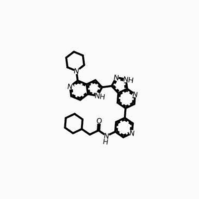 O=C(CC1CCCCC1)Nc1cncc(-c2cnc3[nH]nc(-c4cc5c(N6CCCCC6)nccc5[nH]4)c3c2)c1